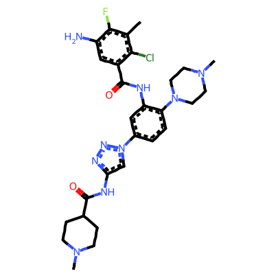 Cc1c(F)c(N)cc(C(=O)Nc2cc(-n3cc(NC(=O)C4CCN(C)CC4)nn3)ccc2N2CCN(C)CC2)c1Cl